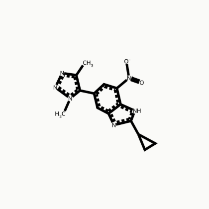 Cc1nnn(C)c1-c1cc([N+](=O)[O-])c2[nH]c(C3CC3)nc2c1